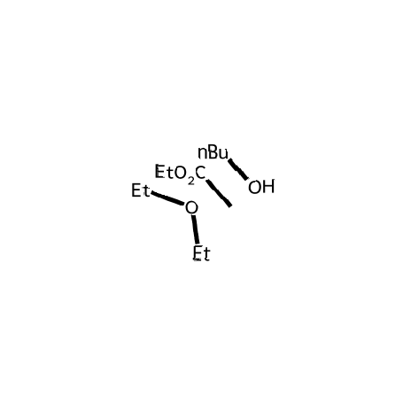 CCCCO.CCOC(C)=O.CCOCC